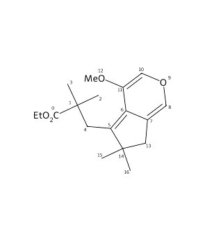 CCOC(=O)C(C)(C)CC1=C2C(=COC=C2OC)CC1(C)C